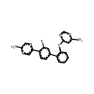 Nc1cnc(-c2ccc(-c3ccccc3Sc3cc(N)ncn3)cc2F)cn1